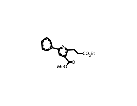 CCOC(=O)CCc1sc(-c2ccccc2)cc1C(=O)OC